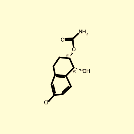 NC(=O)O[C@H]1CCc2cc(Cl)ccc2[C@H]1O